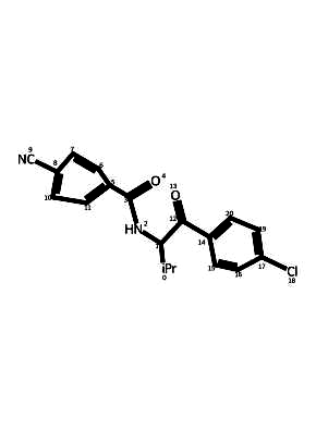 CC(C)C(NC(=O)c1ccc(C#N)cc1)C(=O)c1ccc(Cl)cc1